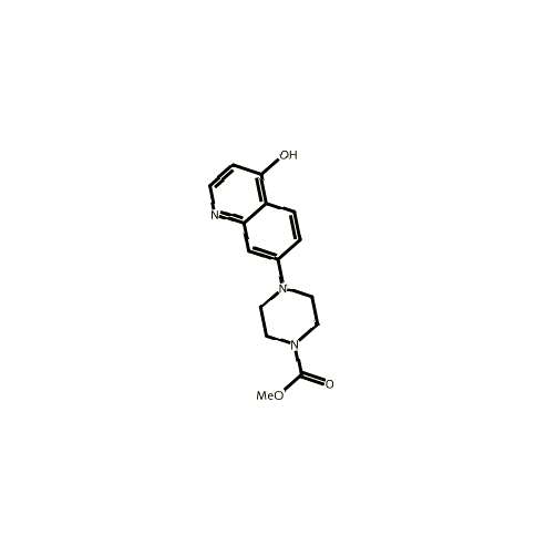 COC(=O)N1CCN(c2ccc3c(O)ccnc3c2)CC1